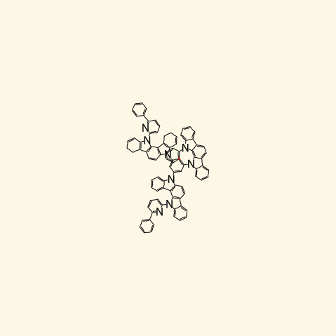 C1=Cc2c(c3ccc4c(c5c(n4-c4cc(-n6c7ccccc7c7c6ccc6c8ccccc8n(-c8cccc(-c9ccccc9)n8)c67)cc(-n6c7ccccc7c7ccc8c9ccccc9n(-c9ccccc9)c8c76)c4)C=CCC5)c3n2-c2cccc(-c3ccccc3)n2)CC1